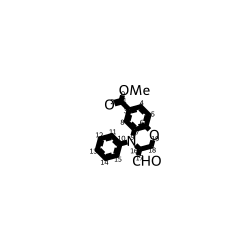 COC(=O)c1ccc2c(c1)N(c1ccccc1)C(C=O)CO2